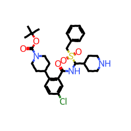 CC(C)(C)OC(=O)N1CCC(c2ccc(Cl)cc2C(=O)NC(C2CCNCC2)S(=O)(=O)Cc2ccccc2)CC1